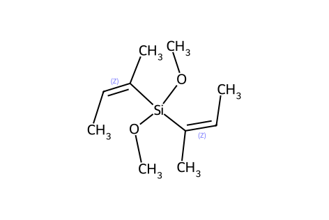 C/C=C(/C)[Si](OC)(OC)/C(C)=C\C